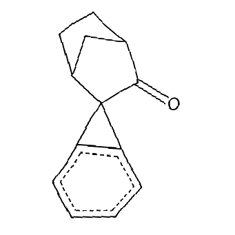 O=C1C2CCC(C2)C12c1ccccc12